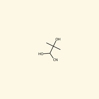 CC(C)(O)C(O)C#N